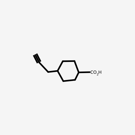 C#CCC1CCC(C(=O)O)CC1